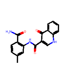 Cc1ccc(C(N)=O)c(NC(=O)c2c[nH]c3ccccc3c2=O)c1